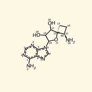 Nc1ncnc2c1ncn2C1O[C@@]2(CC[C@H]2N)C(O)C1O